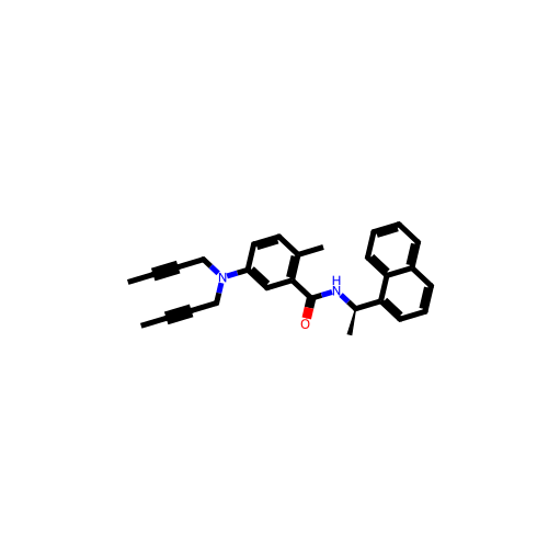 CC#CCN(CC#CC)c1ccc(C)c(C(=O)N[C@H](C)c2cccc3ccccc23)c1